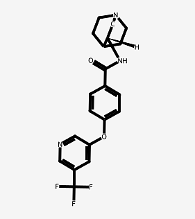 O=C(N[C@H]1CN2CCC1CC2)c1ccc(Oc2cncc(C(F)(F)F)c2)cc1